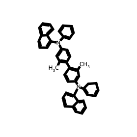 Cc1cc(N(C2=CC=CCC2)c2cccc3ccccc23)ccc1-c1ccc(N(c2ccccc2)c2cccc3ccccc23)cc1C